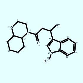 CC(C)C(CC(=O)N1CCOC2CCCCC21)c1cn(C)c2ccccc12